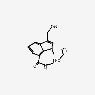 CCO.O=C1NCCn2cc(CO)c3cccc1c32